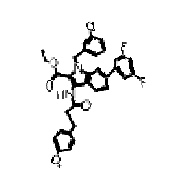 CCOC(=O)c1c(NC(=O)CCc2ccc(OC)cc2)c2ccc(-c3cc(F)cc(F)c3)cc2n1Cc1cccc(Cl)c1